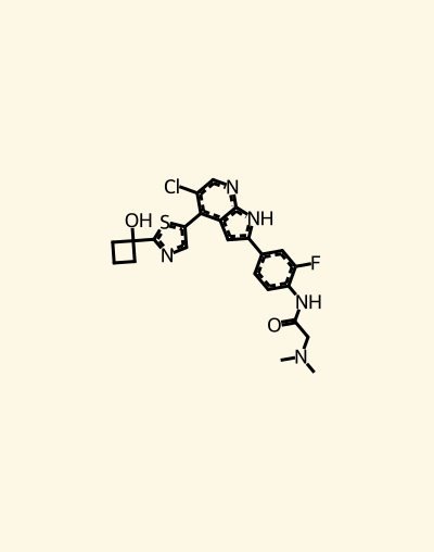 CN(C)CC(=O)Nc1ccc(-c2cc3c(-c4cnc(C5(O)CCC5)s4)c(Cl)cnc3[nH]2)cc1F